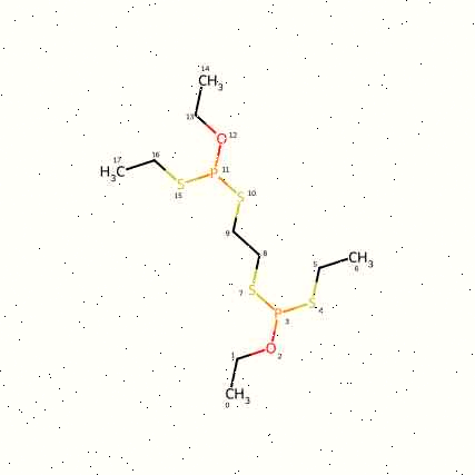 CCOP(SCC)SCCSP(OCC)SCC